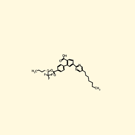 CCCCCCCc1cnc(-c2ccc(C(=O)O)c(-c3ccc(C(=O)O[C@@H](CCCC)C(F)(F)F)cc3)c2)nc1